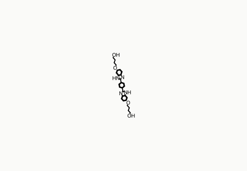 OCCCCOc1ccc2nc(-c3ccc(-c4nc5ccc(OCCCCO)cc5[nH]4)cc3)[nH]c2c1